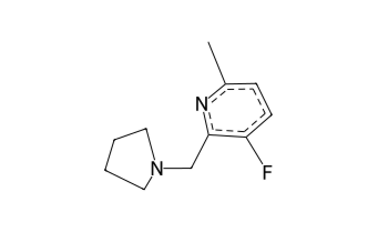 Cc1ccc(F)c(CN2CCCC2)n1